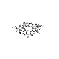 CN1C[C@@H]2C[C@H]1CN2c1ccc(Nc2ncc3c(n2)N(c2cccc(N=S(C)(C)=O)n2)[C@H]2CC(C)(C)OC[C@@]32C)cc1